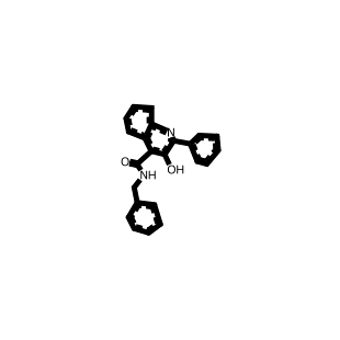 O=C(NCc1ccccc1)c1c(O)c(-c2ccccc2)nc2ccccc12